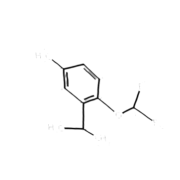 C[C](C)c1cc(C)ccc1OC(F)F